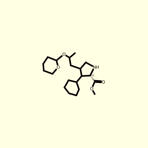 COC(=O)[C@H]1NCC(CC(C)OC2CCCCO2)C1C1CCCCC1